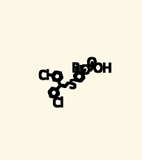 O=C(O)COc1ccc(SCC=C(c2cccc(Cl)c2)c2cccc(Cl)c2)cc1Br